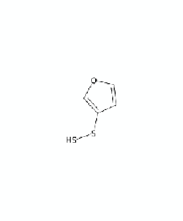 SSc1ccoc1